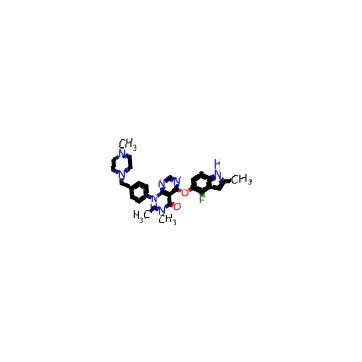 CCN(C)C(=O)c1c(Nc2ccc(CN3CCN(C)CC3)cc2)ncnc1Oc1ccc2[nH]c(C)cc2c1F